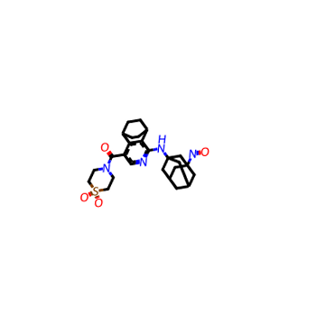 O=NC12CC3CC(C1)CC(Nc1ncc(C(=O)N4CCS(=O)(=O)CC4)c4c1C1CCC4CC1)(C3)C2